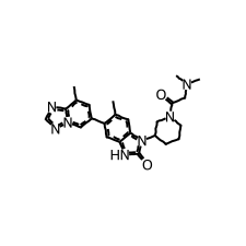 Cc1cc2c(cc1-c1cc(C)c3ncnn3c1)[nH]c(=O)n2C1CCCN(C(=O)CN(C)C)C1